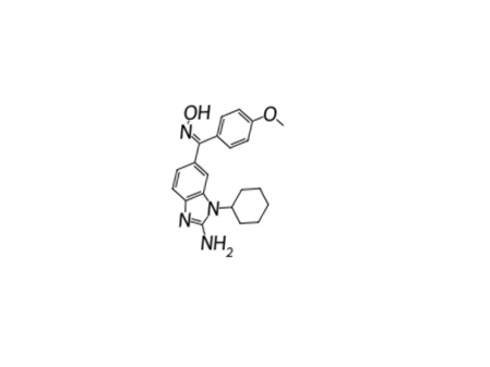 COc1ccc(C(=NO)c2ccc3nc(N)n(C4CCCCC4)c3c2)cc1